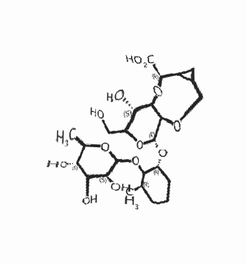 CC1OC(OC2[C@H](C)CCC[C@H]2O[C@@H]2OC(CO)[C@H](O)C3O[C@@H](C(=O)O)C4CC4CCOC32)[C@@H](O)C(O)[C@@H]1O